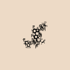 C/C=C\[C@H]1COc2c(Cl)c(-c3ccc(F)c4sc(NC(=O)OC(C)(C)C)c(C#N)c34)c(F)c3nc(OC[C@@]45CCCN4C[C@H](F)C5)nc(c23)N1CC(F)F